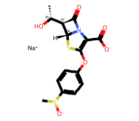 C[C@@H](O)[C@H]1C(=O)N2C(C(=O)[O-])=C(Oc3ccc([S+](C)[O-])cc3)S[C@H]12.[Na+]